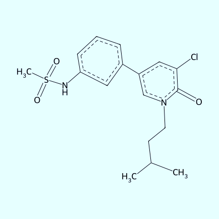 CC(C)CCn1cc(-c2cccc(NS(C)(=O)=O)c2)cc(Cl)c1=O